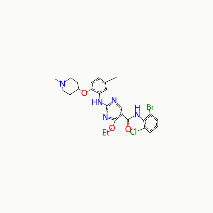 CCOc1nc(Nc2cc(C)ccc2OC2CCN(C)CC2)ncc1C(=O)Nc1c(Cl)cccc1Br